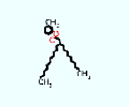 CCCCCCCCCCCCC(CCCCCCCCCC)CC(=O)Oc1cccc(C)c1